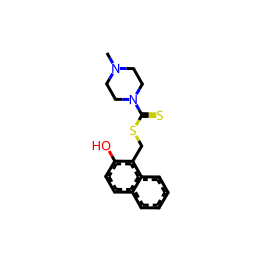 CN1CCN(C(=S)SCc2c(O)ccc3ccccc23)CC1